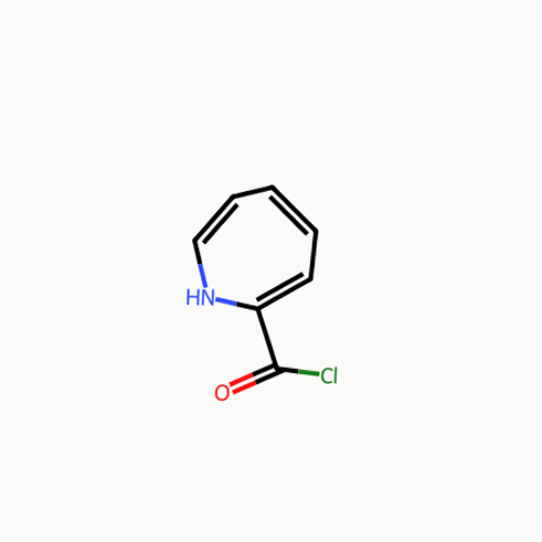 O=C(Cl)C1=CC=CC=CN1